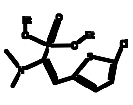 CCOP(=O)(OCC)C(=Cc1ccc(Cl)s1)N(C)C